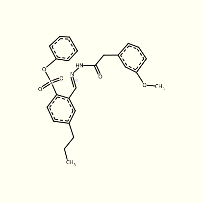 CCCc1ccc(S(=O)(=O)Oc2ccccc2)c(/C=N/NC(=O)Cc2cccc(OC)c2)c1